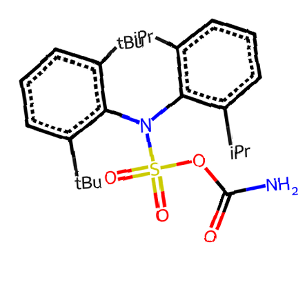 CC(C)c1cccc(C(C)C)c1N(c1c(C(C)(C)C)cccc1C(C)(C)C)S(=O)(=O)OC(N)=O